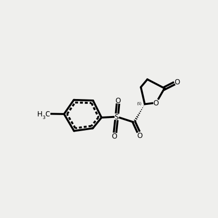 Cc1ccc(S(=O)(=O)C(=O)[C@@H]2CCC(=O)O2)cc1